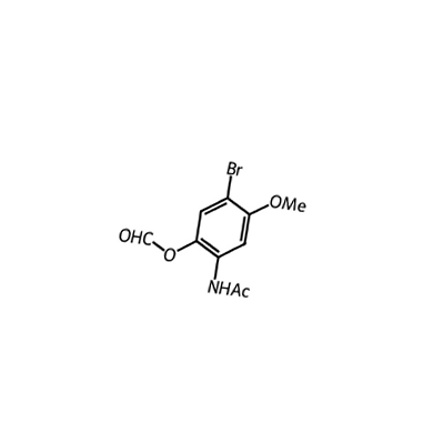 COc1cc(NC(C)=O)c(OC=O)cc1Br